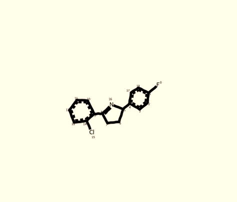 Fc1ccc(C2CCC(c3ccccc3Cl)=N2)cc1